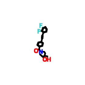 CC1(O)CCN(C(=O)c2ccc(C#Cc3cccc(F)c3F)cc2)CC1